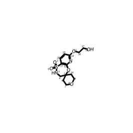 O=S1(=O)NCC2(CCOCC2)Oc2nc(OCCO)ccc21